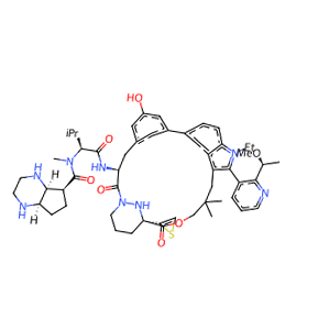 CCn1c(-c2cccnc2[C@H](C)OC)c2c3cc(ccc31)-c1cc(O)cc(c1)C[C@H](NC(=O)[C@H](C(C)C)N(C)C(=O)[C@H]1CC[C@H]3NCCN[C@@H]13)C(=O)N1CCC[C@@](C3=CS3)(N1)C(=O)OCC(C)(C)C2